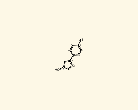 Oc1csc(-c2ccc(Cl)cc2)c1